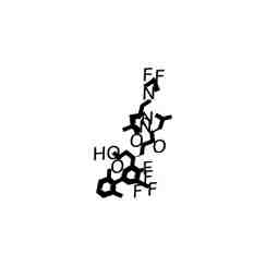 Cc1cccc(C)c1-c1cc([C@@H](CCC(=O)[C@H](CC(C)C)n2nc(CCN3CC(F)(F)C3)cc(C)c2=O)CC(=O)O)c(F)c(C(F)(F)F)c1